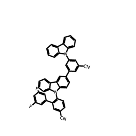 N#Cc1cc(-c2ccc3c(c2)c2ccccc2n3-c2ccc(C#N)cc2-c2cc(F)cc(F)c2)cc(-n2c3ccccc3c3ccccc32)c1